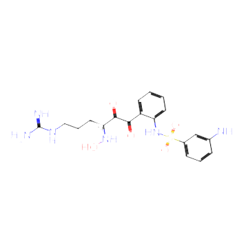 N=C(N)NCCC[C@H](NO)C(=O)C(=O)c1ccccc1NS(=O)(=O)c1cccc(N)c1